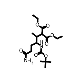 CCOC(=O)C(C(=O)OCC)C(C)C(CCC(N)=O)NC(=O)OC(C)(C)C